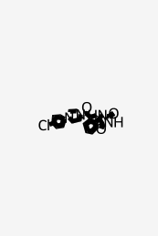 O=C1NC(=O)[C@@](CCC(=O)N2CCN(c3ccc(Cl)cc3)CC2)(c2ccccc2)N1